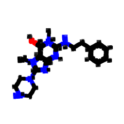 CCn1c(N2CCNCC2)nc2nc(NCCc3ccccc3)n(C)c(=O)c21